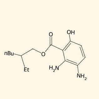 CCCCC(CC)COC(=O)c1c(O)ccc(N)c1N